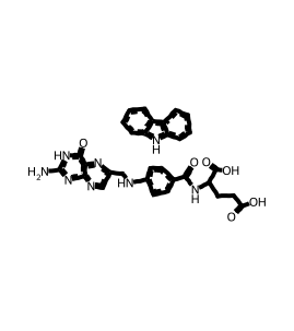 Nc1nc2ncc(CNc3ccc(C(=O)NC(CCC(=O)O)C(=O)O)cc3)nc2c(=O)[nH]1.c1ccc2c(c1)[nH]c1ccccc12